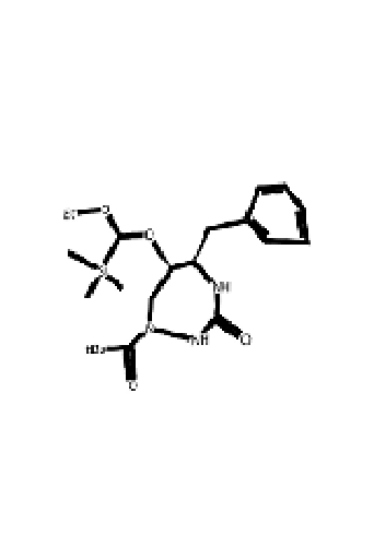 CCOC(O[C@@H]1CN(C(=O)C(C)(C)C)NC(=O)N[C@@H]1Cc1ccccc1)[Si](C)(C)C